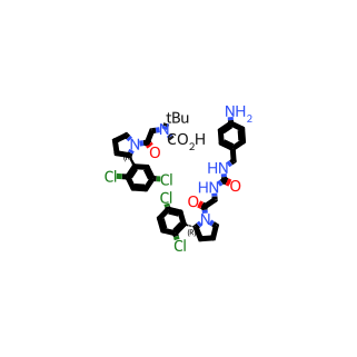 CC(C)(C)N(CC(=O)N1CCC[C@@H]1c1cc(Cl)ccc1Cl)C(=O)O.Nc1ccc(CNC(=O)NCC(=O)N2CCC[C@@H]2c2cc(Cl)ccc2Cl)cc1